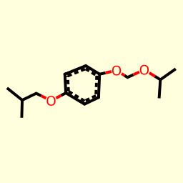 CC(C)COc1ccc(OCOC(C)C)cc1